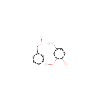 CCOCc1ccccc1.CCOc1cc(C=O)ccc1O